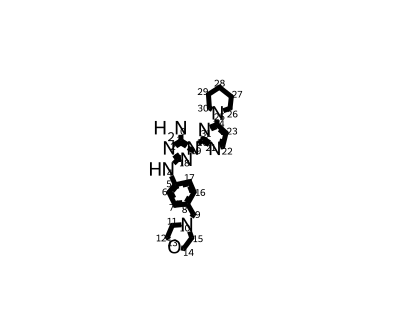 Nc1nc(Nc2ccc(CN3CCOCC3)cc2)nn1-c1nccc(N2CCCCC2)n1